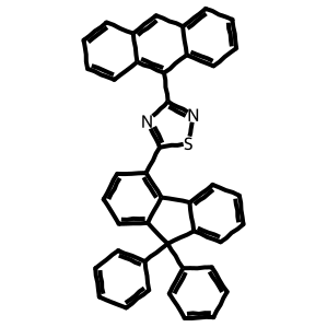 c1ccc(C2(c3ccccc3)c3ccccc3-c3c(-c4nc(-c5c6ccccc6cc6ccccc56)ns4)cccc32)cc1